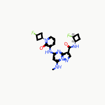 CNc1cc(Nc2cccn([C@H]3C[C@H](F)C3)c2=O)nc2c(C(=O)N[C@H]3CC[C@@H]3F)cnn12